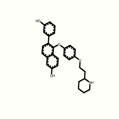 Oc1cccc(-c2ccc3cc(O)ccc3c2Oc2ccc(OCCC3CCCCN3)cc2)c1